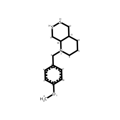 COc1ccc(CN2CCCC3CSSCC32)cc1